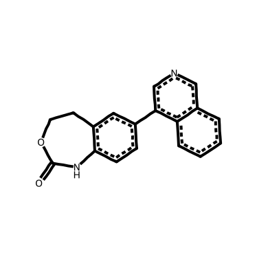 O=C1Nc2ccc(-c3cncc4ccccc34)cc2CCO1